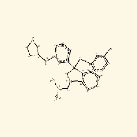 Cc1cccc(CC2(c3cccc(NC4CCOC4)c3)CN(C[C@@H](O)C(F)(F)F)c3ccccc32)c1